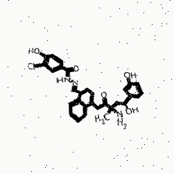 CC(N)(C[C@H](O)c1cccc(O)c1)C(=O)Cc1ccc(/C=N/NC(=O)c2ccc(O)c(Cl)c2)c2ccccc12